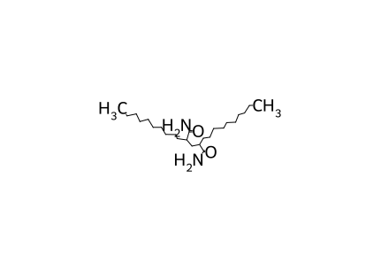 CCCCCCCCCCC(CC(CCCCCCCCCC)C(N)=O)C(N)=O